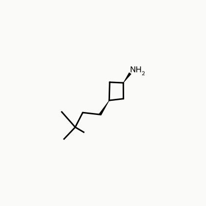 CC(C)(C)CC[C@H]1C[C@@H](N)C1